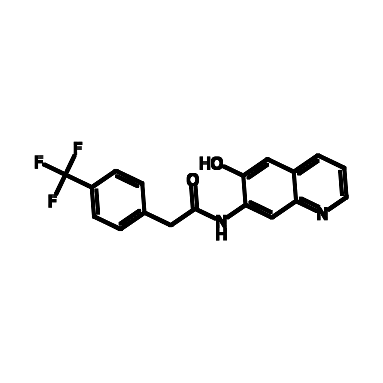 O=C(Cc1ccc(C(F)(F)F)cc1)Nc1cc2ncccc2cc1O